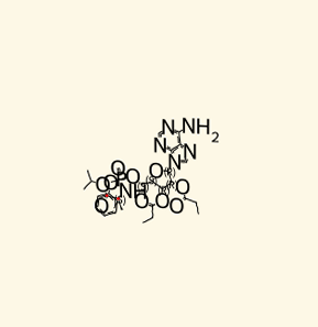 CCC(=O)O[C@H]1[C@@H](OC(=O)CC)[C@H](n2cnc3c(N)ncnc32)O[C@@H]1[C@H](C)OP(=O)(N[C@@H](C)C(=O)OC(C)C)Oc1ccccc1